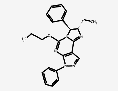 CCCOC1=Nc2c(cnn2-c2ccccc2)C2=N[C@@H](CC)[C@H](c3ccccc3)N12